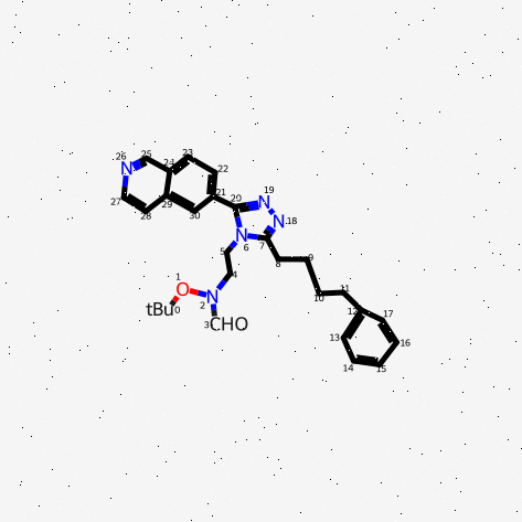 CC(C)(C)ON(C=O)CCn1c(CCCCc2ccccc2)nnc1-c1ccc2cnccc2c1